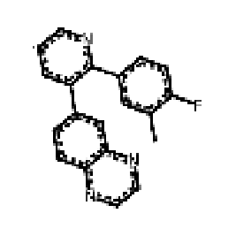 Cc1cc(-c2nc[c]cc2-c2ccc3nccnc3c2)ccc1F